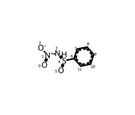 O=[N+]([O-])/N=[SH](=O)/c1ccccc1